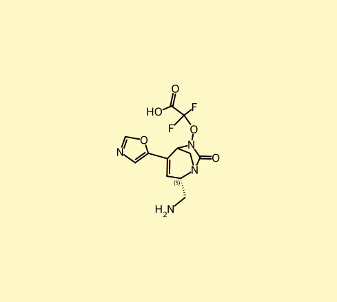 NC[C@@H]1C=C(c2cnco2)C2CN1C(=O)N2OC(F)(F)C(=O)O